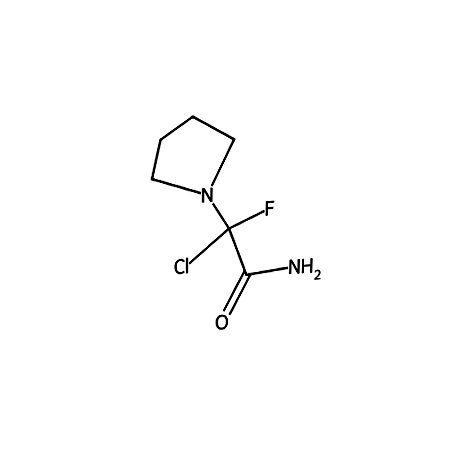 NC(=O)C(F)(Cl)N1CCCC1